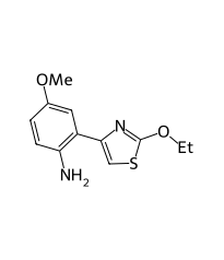 CCOc1nc(-c2cc(OC)ccc2N)cs1